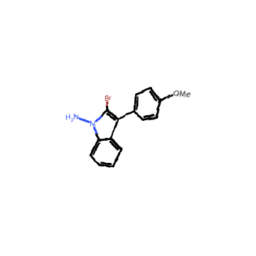 COc1ccc(-c2c(Br)n(N)c3ccccc23)cc1